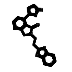 O=C1c2c(-c3cc[nH]n3)ccnc2CN1CCc1nc2ccccc2s1